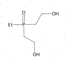 CCP(=O)(CCO)CCO